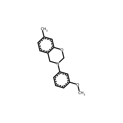 COc1cccc(N2COc3cc(C)ccc3C2)c1